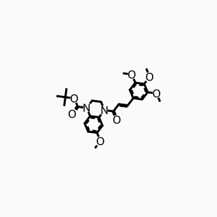 COc1ccc2c(c1)N(C(=O)C=Cc1cc(OC)c(OC)c(OC)c1)CCN2C(=O)OC(C)(C)C